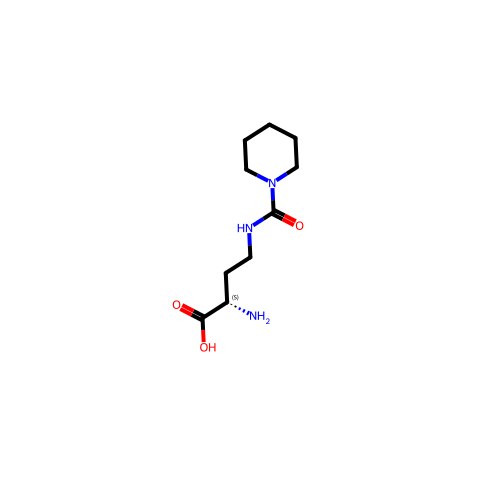 N[C@@H](CCNC(=O)N1CCCCC1)C(=O)O